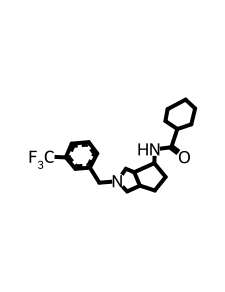 O=C(NC1CCC2CN(Cc3cccc(C(F)(F)F)c3)CC21)C1CCCCC1